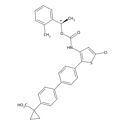 Cc1ccccc1[C@@H](C)OC(=O)Nc1cc(Cl)sc1-c1ccc(-c2ccc(C3(C(=O)O)CC3)cc2)cc1